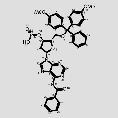 COc1ccc(C(OC[C@H]2O[C@@H](n3cnc4c(NC(=O)c5ccccc5)ncnc43)C[C@H]2O[PH](=O)O)(c2ccccc2)c2ccc(OC)cc2)cc1